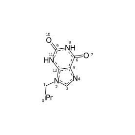 CC(C)Cn1cnc2c(=O)[nH]c(=O)[nH]c21